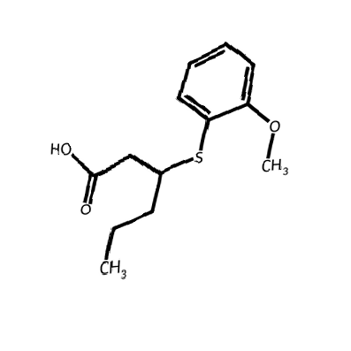 CCCC(CC(=O)O)Sc1ccccc1OC